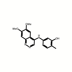 COc1cc2nncc(Nc3ccc(C)c(O)c3)c2cc1OC